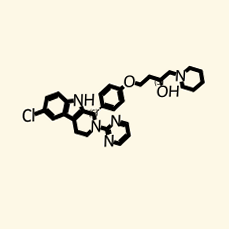 O[C@@H](CCOc1ccc([C@H]2c3[nH]c4ccc(Cl)cc4c3CCN2c2ncccn2)cc1)CN1CCCCC1